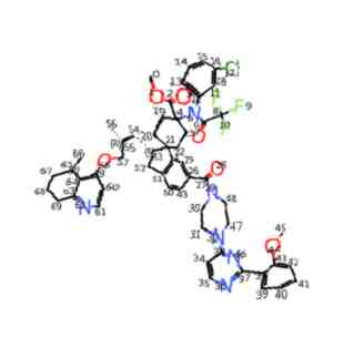 COC(=O)C1(N(C(=O)C(F)(F)F)c2cccc(Cl)c2)CCC2(CC1)c1cc(C(=O)N3CCN(c4ccnc(-c5ccccc5OC)n4)CC3)ccc1C[C@@H]2C[C@@H](C)COc1ccnc2c1[C@H](C)CCC2